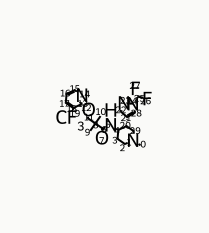 CN1CC[C@@H](NC(=O)C(C)(C)COc2ncccc2C(F)(F)F)[C@H](c2cnn(C(F)F)c2)C1